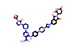 NC(=O)c1ncc(N2CCCC(N3CCN(C4COC4)C3=O)C2)nc1Nc1ccc(N2CCN(C3CN(c4ccc5c(c4)C(=O)N(C4CCC(=O)NC4=O)C5=O)C3)CC2)cc1